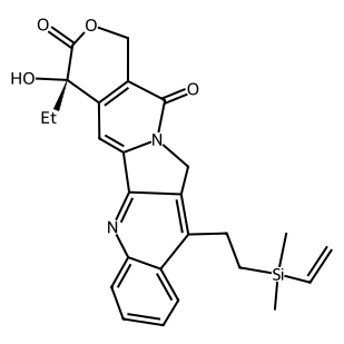 C=C[Si](C)(C)CCc1c2c(nc3ccccc13)-c1cc3c(c(=O)n1C2)COC(=O)[C@]3(O)CC